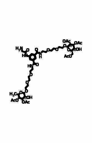 CC(=O)OC[C@H]1O[C@H](OCCOCCOCCNC(=O)c2cc(NC(=O)CN)cc(C(=O)NCCOCCOCCO[C@H]3O[C@H](C)[C@@H](OC(C)=O)[C@H](OC(C)=O)[C@@H]3O)c2)[C@@H](OC(C)=O)[C@@H](OC(C)=O)[C@@H]1O